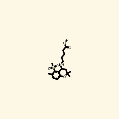 COC(=O)CCCCNC1CC(C)(C)Oc2ccc(C)c(S(C)(=O)=O)c21